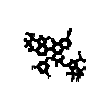 CPN(c1nn(C)c2c(-n3c([C@H](Cc4cc(F)cc(F)c4)NC(=O)Cn4nc(C(F)F)c5c4C(F)(F)[C@@H]4C[C@H]54)nc4ncc(C#N)cc4c3=O)ccc(Cl)c12)S(C)(=O)=O